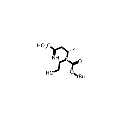 C[C@@H](CC(=N)C(=O)O)N(CCO)C(=O)OC(C)(C)C